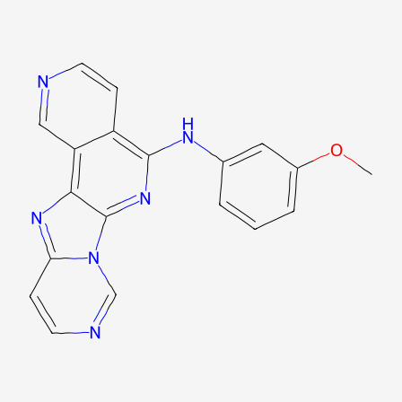 COc1cccc(Nc2nc3c(nc4ccncn43)c3cnccc23)c1